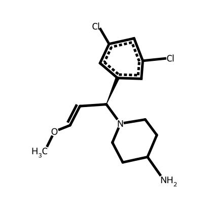 COC=C[C@@H](c1cc(Cl)cc(Cl)c1)N1CCC(N)CC1